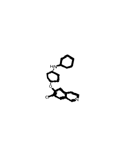 Clc1cc2cnccc2cc1O[C@H]1CC[C@@H](NC2CCCCC2)CC1